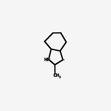 CC1[CH]C2CCCCC2N1